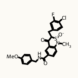 COc1ccc(CNC(=O)c2ccc3c(c2)C(=O)C(Cc2ccc(Cl)c(F)c2)[S+]([O-])N3C)cc1